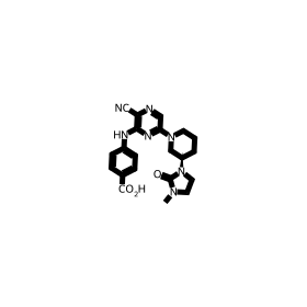 CN1CCN([C@@H]2CCCN(c3cnc(C#N)c(Nc4ccc(C(=O)O)cc4)n3)C2)C1=O